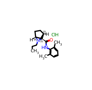 CCCN1[C@@H]2CC[C@@H](C2)[C@H]1C(=O)Nc1c(C)cccc1C.Cl